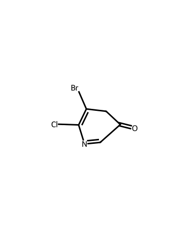 O=C1C=NC(Cl)=C(Br)C1